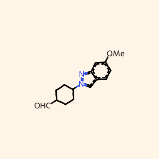 COc1ccc2cn(C3CCC(C=O)CC3)nc2c1